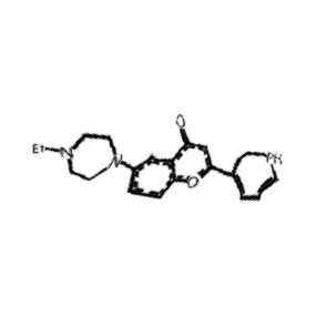 CCN1CCN(c2ccc3oc(C4=CC=CPC4)cc(=O)c3c2)CC1